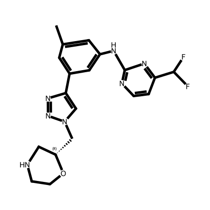 Cc1cc(Nc2nccc(C(F)F)n2)cc(-c2cn(C[C@H]3CNCCO3)nn2)c1